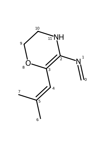 C=NC1=C(C=C(C)C)OCCN1